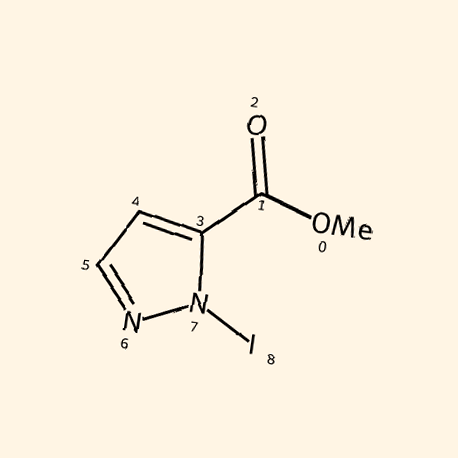 COC(=O)c1ccnn1I